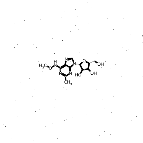 CONc1nc(C)nc2c1ncn2[C@@H]1O[C@H](CO)C(O)C1O